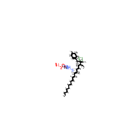 CCCCCCCCCCCCCCCCC(C)C(C)(Cl)Cc1ccccc1.N.O